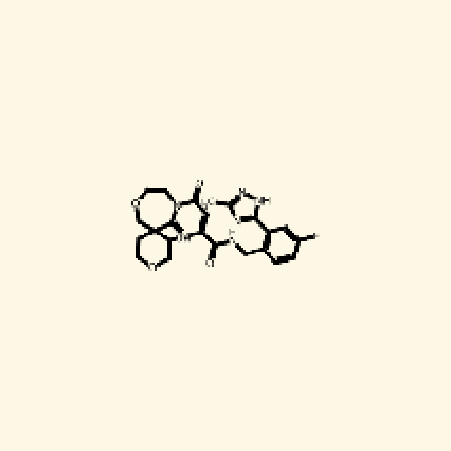 Cc1n[nH]c(-c2cc(F)ccc2CNC(=O)c2cc(=O)n3c(n2)C2(CCOCC2O)COCC3)n1